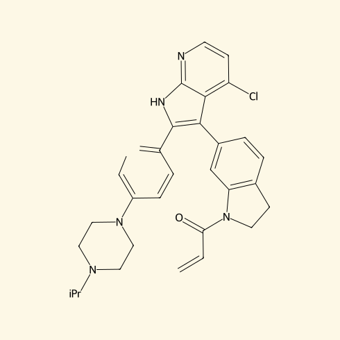 C=CC(=O)N1CCc2ccc(-c3c(C(=C)/C=C\C(=C/C)N4CCN(C(C)C)CC4)[nH]c4nccc(Cl)c34)cc21